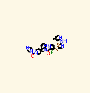 Cc1ccnc(Nc2ncc(Sc3ccnc(C(=O)NCC4(c5ccccc5)CCN(C(=O)N5CCN(C)CC5)CC4)c3F)s2)c1